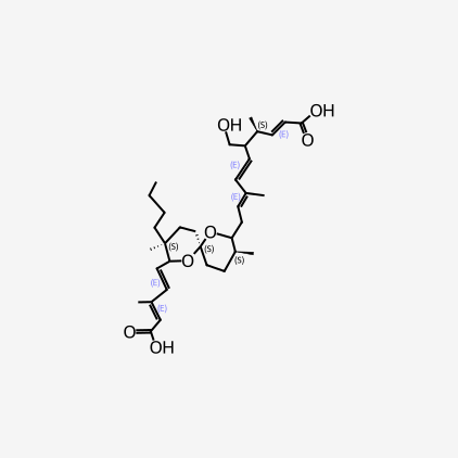 CCCC[C@@]1(C)CC[C@]2(CC[C@H](C)C(C/C=C(C)/C=C/C(CO)[C@@H](C)/C=C/C(=O)O)O2)OC1/C=C/C(C)=C/C(=O)O